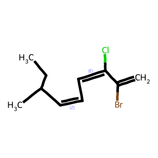 C=C(Br)/C(Cl)=C\C=C/C(C)CC